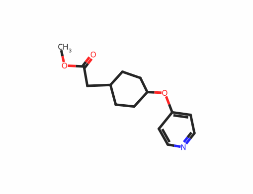 COC(=O)CC1CCC(Oc2ccncc2)CC1